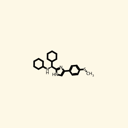 CSc1ccc(-c2c[nH]c([C@@H](NC3CCCCC3)C3CCCCC3)n2)cc1